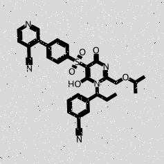 CCC(c1cccc(C#N)c1)n1c(COC(C)C)nc(=O)c(S(=O)(=O)c2ccc(-c3cnccc3C#N)cc2)c1O